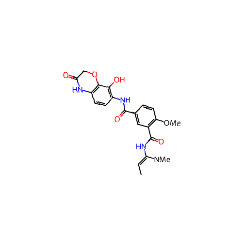 C/C=C(\NC)NC(=O)c1cc(C(=O)Nc2ccc3c(c2O)OCC(=O)N3)ccc1OC